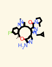 CC1CCCN1C(=O)c1nn(CC2CC2)c2c1Cc1cn(C)nc1-c1ccc(F)cc1[C@@H](C)Oc1cc-2cnc1N